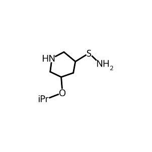 CC(C)OC1CNCC(SN)C1